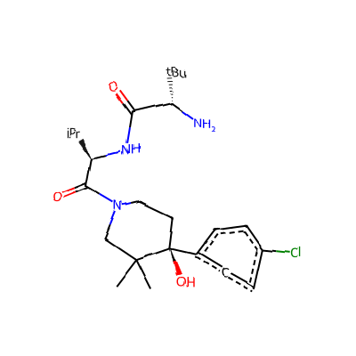 CC(C)[C@@H](NC(=O)[C@@H](N)C(C)(C)C)C(=O)N1CC[C@](O)(c2ccc(Cl)cc2)C(C)(C)C1